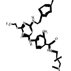 CN(C)CC(C)(C)CNC(=O)c1ccc(Nc2nc(NCc3ccc(O)cc3)nc(OCC(F)(F)F)n2)cc1O